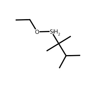 CCO[SiH2]C(C)(C)C(C)C